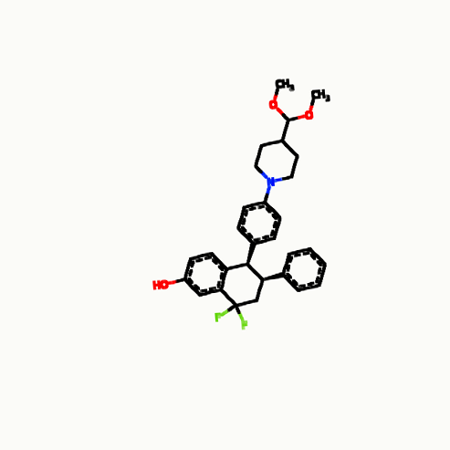 COC(OC)C1CCN(c2ccc([C@@H]3c4ccc(O)cc4C(F)(F)C[C@@H]3c3ccccc3)cc2)CC1